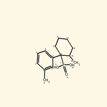 Cc1cccc(C2(P(=O)(O)O)CCCCC2C)c1